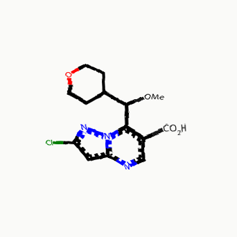 COC(c1c(C(=O)O)cnc2cc(Cl)nn12)C1CCOCC1